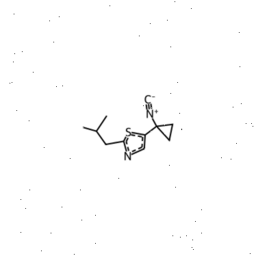 [C-]#[N+]C1(c2cnc(CC(C)C)s2)CC1